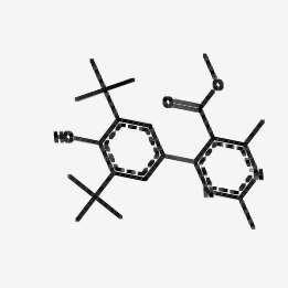 COC(=O)c1c(C)nc(C)nc1-c1cc(C(C)(C)C)c(O)c(C(C)(C)C)c1